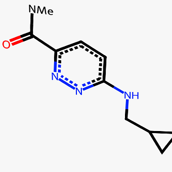 CNC(=O)c1ccc(NCC2CC2)nn1